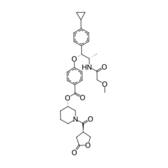 COCC(=O)N[C@@H](C)[C@H](Oc1ccc(C(=O)O[C@H]2CCCN(C(=O)[C@H]3COC(=O)C3)C2)cc1)c1ccc(C2CC2)cc1